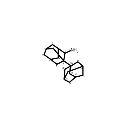 NC1C2CC3CC(C2)CC1(C12CC4CC(CC(C4)C1)C2)C3